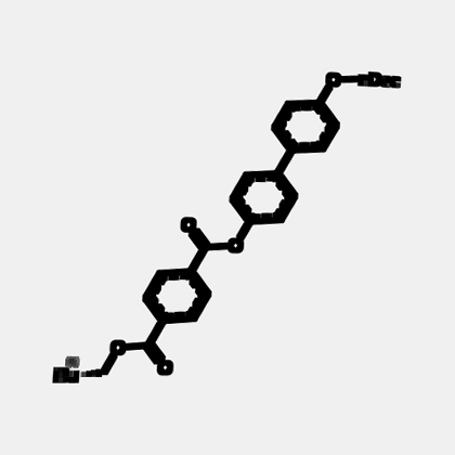 CCCCCCCCCCOc1ccc(-c2ccc(OC(=O)c3ccc(C(=O)OC[C@@H](C)CC)cc3)cc2)cc1